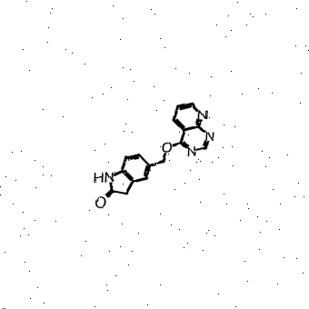 O=C1Cc2cc(COc3ncnc4ncccc34)ccc2N1